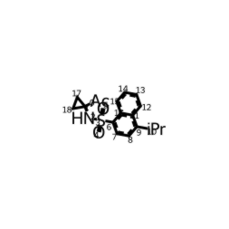 CC(=O)C1(NS(=O)(=O)c2ccc(C(C)C)c3ccccc23)CC1